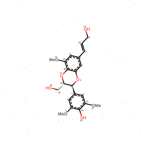 COc1cc([C@@H]2Oc3cc(/C=C/CO)cc(OC)c3O[C@H]2CO)cc(OC)c1O